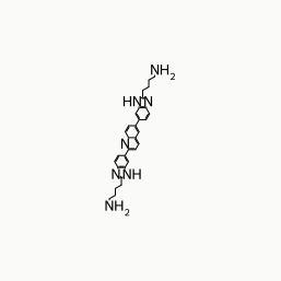 NCCCCc1nc2ccc(-c3ccc4nc(-c5ccc6nc(CCCCN)[nH]c6c5)ccc4c3)cc2[nH]1